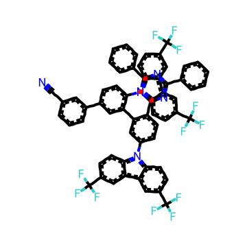 N#Cc1cccc(-c2ccc(-n3c4ccc(C(F)(F)F)cc4c4cc(C(F)(F)F)ccc43)c(-c3cc(-n4c5ccc(C(F)(F)F)cc5c5cc(C(F)(F)F)ccc54)ccc3-c3nc(-c4ccccc4)nc(-c4ccccc4)n3)c2)c1